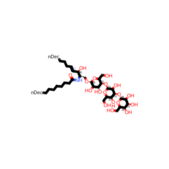 CCCCCCCCCCCCC/C=C/[C@@H](O)[C@H](CO[C@@H]1OC(CO)[C@@H](O[C@@H]2OC(CO)[C@H](O)[C@H](O[C@H]3OC(CO)[C@H](O)[C@H](O)C3O)C2O)[C@H](O)C1O)NC(=O)CCCCCCCCCCCCCCCCC